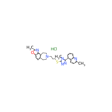 Cc1ccc2c(-c3nnc(SCCCN4CCc5ccc6oc(C)nc6c5CC4)n3C)cccc2n1.Cl